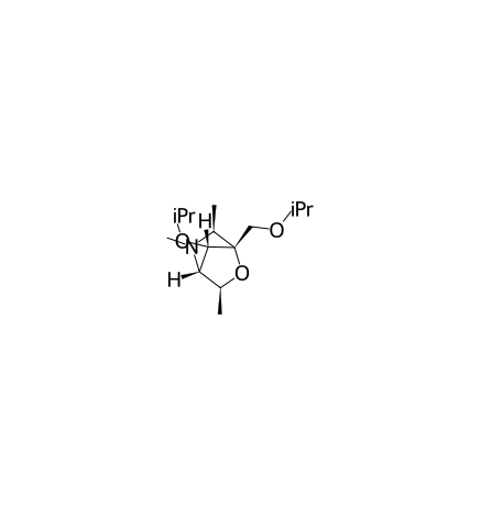 CC(C)OC[C@@]12O[C@@H](C)[C@@H]([C@@H]1OC(C)C)N(C)[C@H]2C